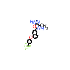 C[C@@H](NC(=O)c1ccc2c(Oc3ccc(C(F)(F)F)cc3)cccc2c1)c1c[nH]cn1